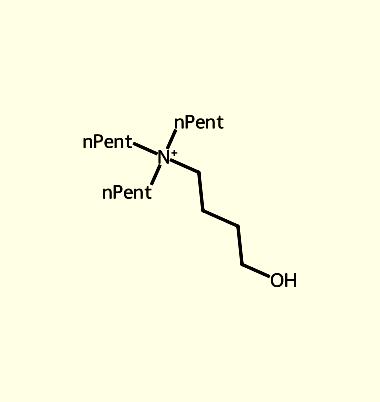 CCCCC[N+](CCCCC)(CCCCC)CCCCO